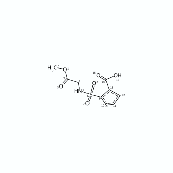 COC(=O)CNS(=O)(=O)c1sccc1C(=O)O